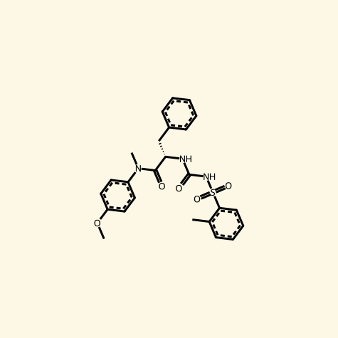 COc1ccc(N(C)C(=O)[C@H](Cc2ccccc2)NC(=O)NS(=O)(=O)c2ccccc2C)cc1